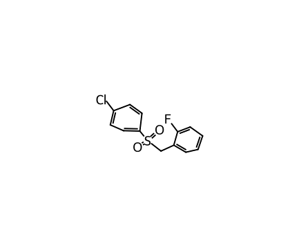 O=S(=O)(Cc1ccccc1F)c1ccc(Cl)cc1